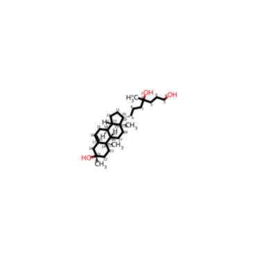 CC(O)(CCCO)CCC[C@H]1CC[C@H]2[C@@H]3CC=C4C[C@@](C)(O)CC[C@]4(C)[C@H]3CC[C@]12C